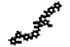 Cc1ncsc1-c1ccc(C(C)NC(=O)[C@@H]2C[C@@H](O)CN2C(=O)C(NC(=O)CN2CCC(Oc3ccc(-c4cnnc(-c5ccccc5O)c4)cc3)CC2)C(C)(C)C)cc1